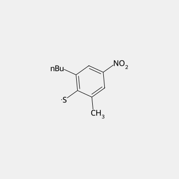 CCCCc1cc([N+](=O)[O-])cc(C)c1[S]